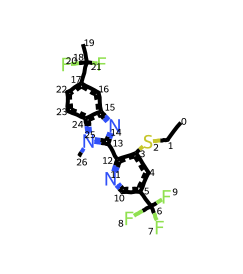 CCSc1cc(C(F)(F)F)cnc1-c1nc2cc(C(C)(F)F)ccc2n1C